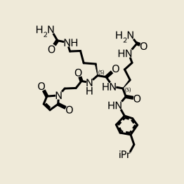 CC(C)Cc1ccc(NC(=O)[C@H](CCCNC(N)=O)NC(=O)[C@H](CCCCNC(N)=O)NC(=O)CCN2C(=O)C=CC2=O)cc1